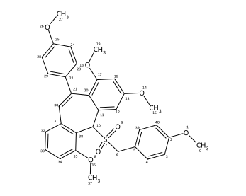 COc1ccc(CS(=O)(=O)C2c3cc(OC)cc(OC)c3C(c3ccc(OC)cc3)=Cc3cccc(OC)c32)cc1